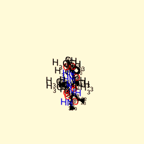 C[C@@H](C1(NC(=O)N[C@H](C(=O)N2C[C@H]3[C@@H]([C@H]2C(=O)N[C@@H](CCC2CC2)C(=O)C(=O)NC2CC2)C3(C)C)C(C)(C)C)CCCCC1)S(=O)(=O)C(C)(C)C